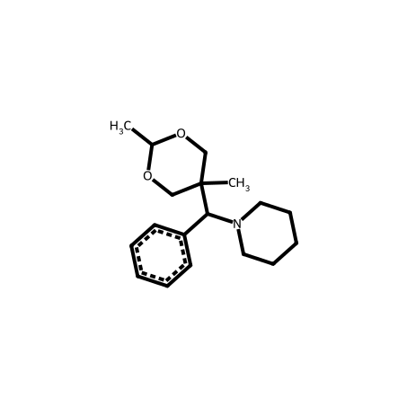 CC1OCC(C)(C(c2ccccc2)N2CCCCC2)CO1